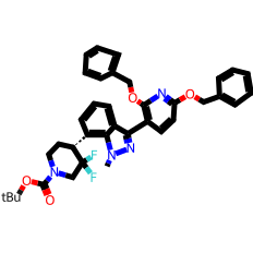 Cn1nc(-c2ccc(OCc3ccccc3)nc2OCc2ccccc2)c2cccc([C@H]3CCN(C(=O)OC(C)(C)C)CC3(F)F)c21